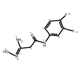 N/C(CC(=O)Nc1ccc(F)c(F)c1)=N\O